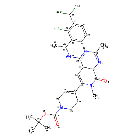 CC1=NC2C(=O)N(C)C(C3=CCN(C(=O)OC(C)(C)C)CC3)=CC2C(N[C@H](C)c2cccc(C(F)F)c2F)=N1